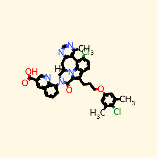 Cc1cc(OCCCc2c3n4c5c(c(Cl)ccc25)-c2c(C)ncnc2C[C@@H]4CN(c2cccc4cc(C(=O)O)cnc24)C3=O)cc(C)c1Cl